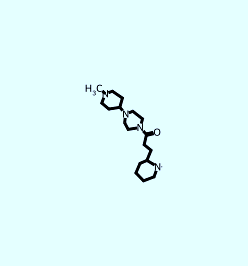 CN1CCC(N2CCN(C(=O)CCC3CCCC[N]3)CC2)CC1